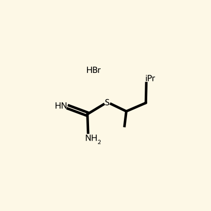 Br.CC(C)CC(C)SC(=N)N